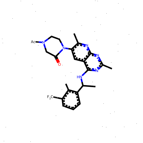 CC(=O)N1CCN(c2cc3c(NC(C)c4cccc(C(F)(F)F)c4C)nc(C)nc3nc2C)C(=O)C1